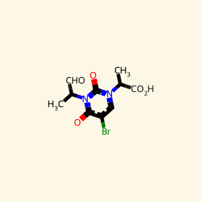 CC(C(=O)O)n1cc(Br)c(=O)n(C(C)C=O)c1=O